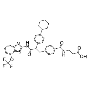 O=C(O)CCNC(=O)c1ccc(CC(C(=O)Nc2nc3cccc(OC(F)(F)F)c3s2)c2ccc(C3CCCCC3)cc2)cc1